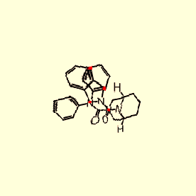 O=C(N1C[C@H]2CCC[C@@H](C1)N2C(=O)N1Cc2ccccc2C1)N(c1ccccc1)c1ccccc1